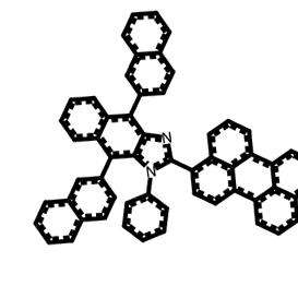 c1ccc(-n2c(-c3ccc4c5cccc6cccc(c7cccc3c74)c65)nc3c(-c4ccc5ccccc5c4)c4ccccc4c(-c4ccc5ccccc5c4)c32)cc1